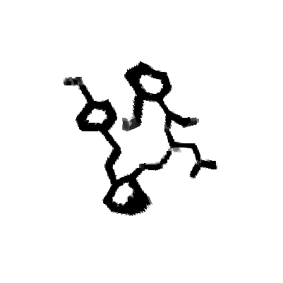 COc1ccc(CCc2ccccc2OC[C@@H](CN(C)C)OC(=O)c2ccccc2OC(C)=O)cc1